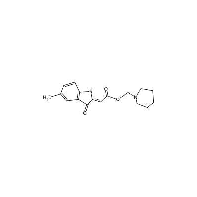 Cc1ccc2c(c1)C(=O)C(=CC(=O)OCN1CCCCC1)S2